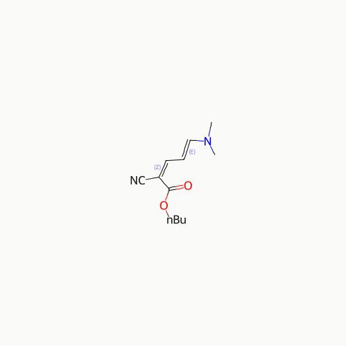 CCCCOC(=O)/C(C#N)=C\C=C\N(C)C